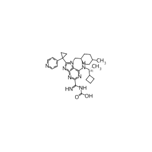 CC1CCC(Cn2c(C3(c4ccncc4)CC3)nc3nc(C(=N)NC(=O)O)nc(N[C@H](C)C4CCC4)c32)CC1